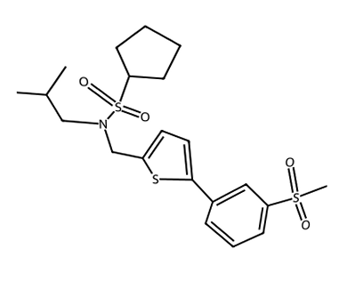 CC(C)CN(Cc1ccc(-c2cccc(S(C)(=O)=O)c2)s1)S(=O)(=O)C1CCCC1